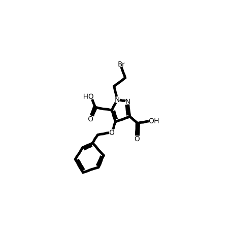 O=C(O)c1nn(CCBr)c(C(=O)O)c1OCc1ccccc1